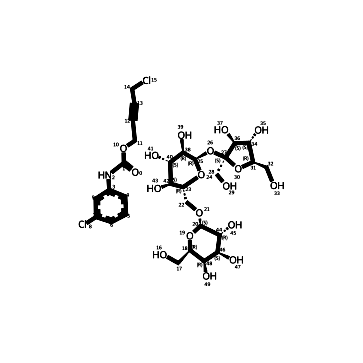 O=C(Nc1cccc(Cl)c1)OCC#CCCl.OC[C@H]1O[C@H](OC[C@H]2O[C@H](O[C@]3(CO)O[C@H](CO)[C@@H](O)[C@@H]3O)[C@H](O)[C@@H](O)[C@@H]2O)[C@H](O)[C@@H](O)[C@H]1O